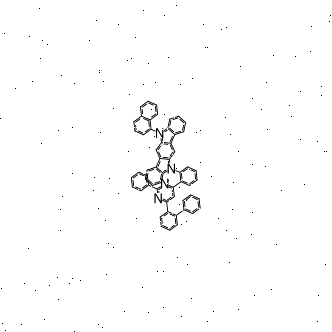 c1ccc(-c2nc(-c3ccccc3-c3ccccc3)cc(-c3ccccc3-n3c4ccccc4c4cc5c(cc43)c3ccccc3n5-c3cccc4ccccc34)n2)cc1